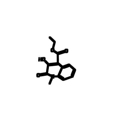 CCOC(=O)c1c(O)c(=O)n(C)c2ccccc12